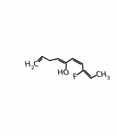 C=CC/C=C(O)/C=C\C(F)=C/C